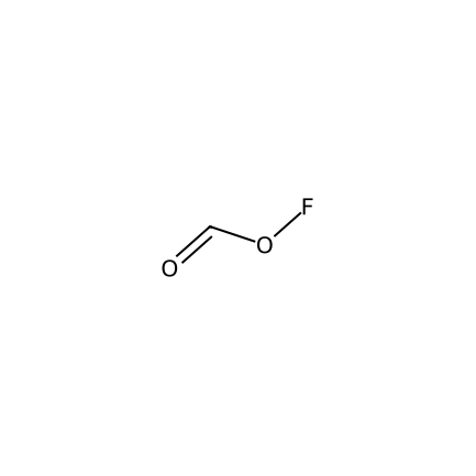 O=COF